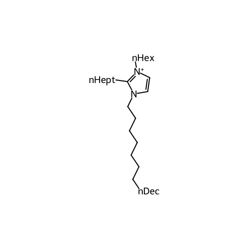 CCCCCCCCCCCCCCCCCn1cc[n+](CCCCCC)c1CCCCCCC